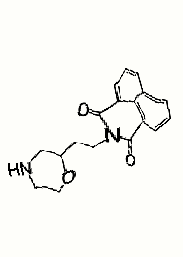 O=C1c2cccc3cccc(c23)C(=O)N1CCC1CNCCO1